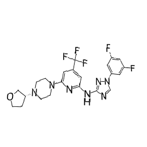 Fc1cc(F)cc(-n2cnc(Nc3cc(C(F)(F)F)cc(N4CCN([C@@H]5CCOC5)CC4)n3)n2)c1